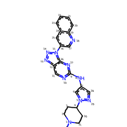 CN1CCC(n2cc(Nc3ncc4nnn(-c5cnc6ccccc6c5)c4n3)cn2)CC1